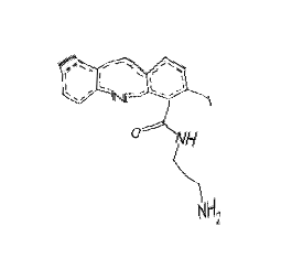 NCCNC(=O)c1c(I)ccc2cc3ccccc3nc12